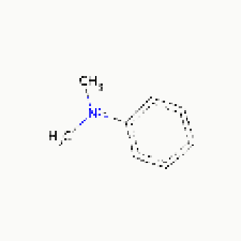 C[N+](C)c1ccccc1